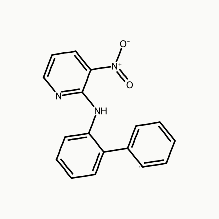 O=[N+]([O-])c1cccnc1Nc1ccccc1-c1[c]cccc1